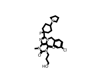 Cn1c(=O)n(CCCO)c(=O)c2c1nc(C1(F)CCC(N3CCCC3)CC1)n2Cc1ccc(Cl)cc1